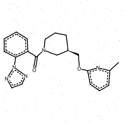 Cc1cccc(OC[C@@H]2CCCN(C(=O)c3ccccc3-n3nccn3)C2)n1